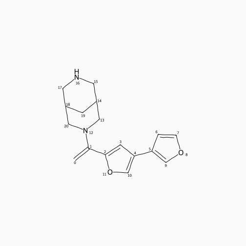 C=C(c1cc(-c2ccoc2)co1)N1CC2CNCC(C2)C1